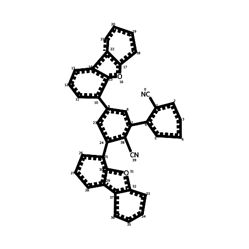 N#Cc1ccccc1-c1cc(-c2cccc3c2oc2ccccc23)cc(-c2cccc3c2oc2ccccc23)c1C#N